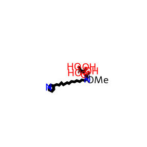 CON(CCCCCCCCCCCCc1cccnc1)[C@@H](CO)OC(CO)[C@@H](O)CO